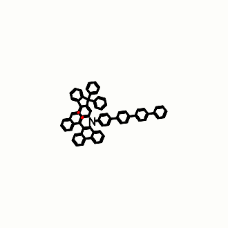 c1ccc(-c2ccc(-c3ccc(-c4ccc(N(c5ccc6c(c5)C(c5ccccc5)(c5ccccc5)c5ccccc5-6)c5c(-c6cccc7ccccc67)c6ccccc6c6ccccc56)cc4)cc3)cc2)cc1